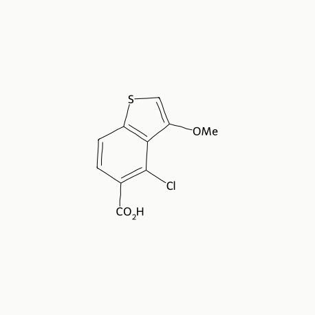 COc1csc2ccc(C(=O)O)c(Cl)c12